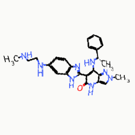 CNCCNc1ccc2nc(-c3c(N[C@@H](C)c4ccccc4)c4nn(C)cc4[nH]c3=O)[nH]c2c1